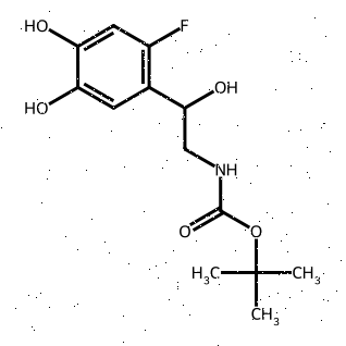 CC(C)(C)OC(=O)NCC(O)c1cc(O)c(O)cc1F